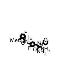 COc1ccc(F)cc1C(=O)NCc1c(F)cc(-c2nn(C3CCCOC3)c(N)c2C(N)=O)cc1F